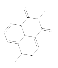 CC1CC=C2C(=O)N(C)C(=O)C3C=CC=C1C23